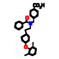 Cc1cccc(C)c1Oc1ccc(CCN(Cc2ccc(C(=O)O)cc2)C(=O)c2ccccc2)cc1